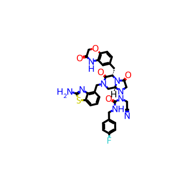 N#CCN(C(=O)NCc1ccc(F)cc1)N1CC(=O)N2[C@@H](Cc3ccc4c(c3)NC(=O)CO4)C(=O)N(Cc3cccc4sc(N)nc34)C[C@@H]21